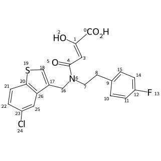 O=C(O)/C(O)=C/C(=O)N(CCc1ccc(F)cc1)Cc1csc2ccc(Cl)cc12